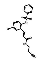 N#CCCNC(=O)/C=C/c1cc(Cl)ccc1NS(=O)(=O)c1ccccc1